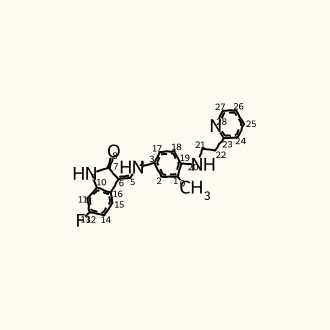 Cc1cc(NC=C2C(=O)Nc3cc(F)ccc32)ccc1NCCc1ccccn1